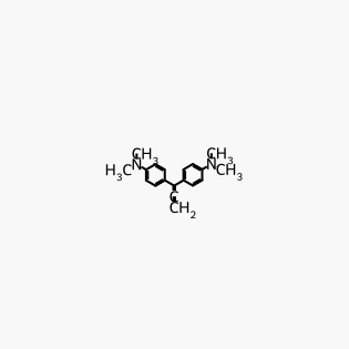 C=C=C(c1ccc(N(C)C)cc1)c1ccc(N(C)C)cc1